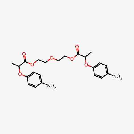 CC(Oc1ccc([N+](=O)[O-])cc1)C(=O)OCCOCCOC(=O)C(C)Oc1ccc([N+](=O)[O-])cc1